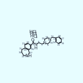 Cl.Cl.Cl.O=C(NCCN1CCN(Cc2ccccc2)CC1)c1ccc2c(c1)CNCCC2